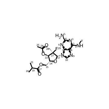 CNc1nc(N)nc2c1ncn2[C@@H]1O[C@H](COC(=O)C(C)C)[C@@H](OC(C)=O)[C@@]1(C)F